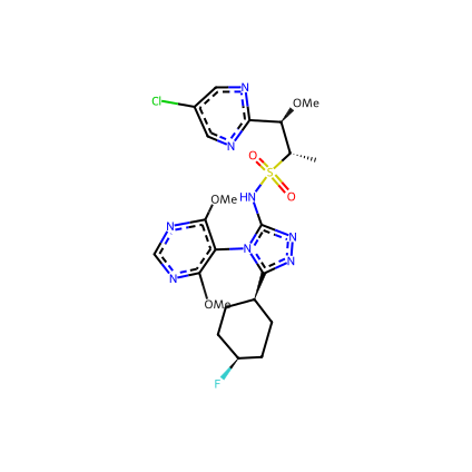 COc1ncnc(OC)c1-n1c(NS(=O)(=O)[C@@H](C)[C@H](OC)c2ncc(Cl)cn2)nnc1[C@H]1CC[C@@H](F)CC1